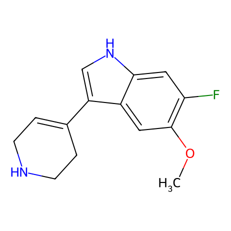 COc1cc2c(C3=CCNCC3)c[nH]c2cc1F